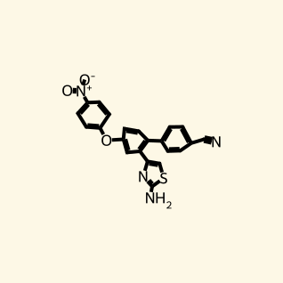 N#Cc1ccc(-c2ccc(Oc3ccc([N+](=O)[O-])cc3)cc2-c2csc(N)n2)cc1